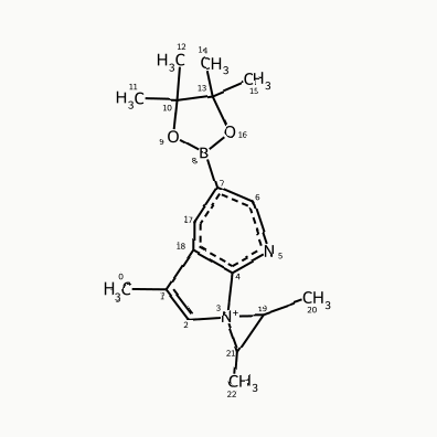 CC1=C[N+]2(c3ncc(B4OC(C)(C)C(C)(C)O4)cc31)C(C)C2C